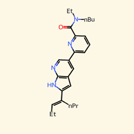 CC/C=C(\CCC)c1cc2cc(-c3cccc(C(=O)N(CC)CCCC)n3)cnc2[nH]1